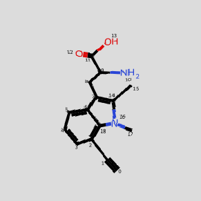 C#Cc1cccc2c(CC(N)C(=O)O)c(C)n(C)c12